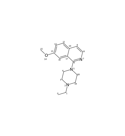 CCN1CCN(c2nccc3ccc(OC)cc23)CC1